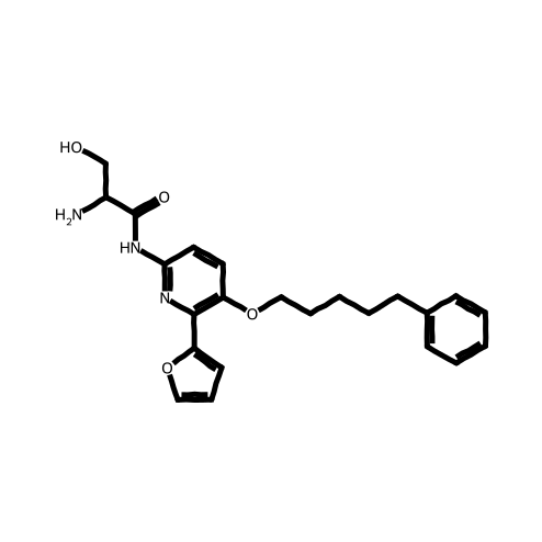 NC(CO)C(=O)Nc1ccc(OCCCCCc2ccccc2)c(-c2ccco2)n1